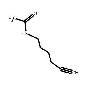 C#CCCCCNC(=O)C(F)(F)F